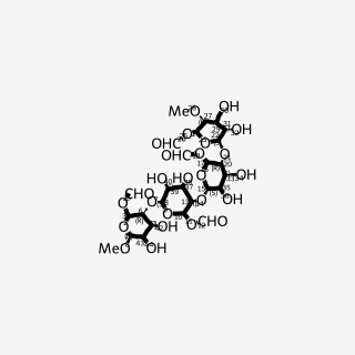 CO[C@H]1OC(OC=O)[C@H](O[C@H]2OC(OC=O)[C@H](O[C@H]3OC(OC=O)[C@H](O[C@H]4OC(OC=O)[C@H](OC)C(O)[C@@H]4O)[C@@H](O)C3O)C(O)[C@@H]2O)[C@@H](O)C1O